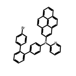 Brc1ccc(-c2ccccc2-c2ccc(N(c3cc4ccc5cccc6ccc(c3)c4c56)c3ccccn3)cc2)cc1